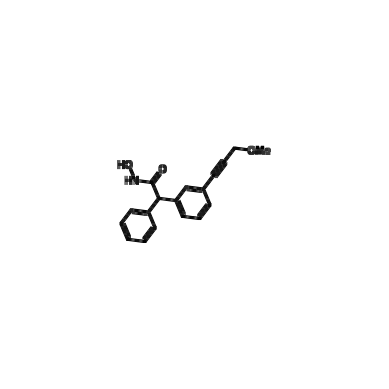 COCC#Cc1cccc(C(C(=O)NO)c2ccccc2)c1